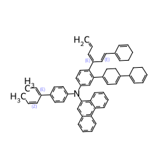 C=C/C=C(\C=C\C1=CCCC=C1)c1ccc(N(c2ccc(C(/C=C\C)=C/C)cc2)c2cc3ccccc3c3ccccc23)cc1C1=CC=C(C2=CC=CCC2)CC1